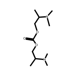 CC(COC(=O)OCC(C)N(C)C)N(C)C